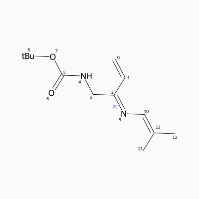 C=C/C(CNC(=O)OC(C)(C)C)=N\C=C(C)C